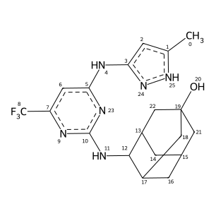 Cc1cc(Nc2cc(C(F)(F)F)nc(NC3C4CC5CC3CC(O)(C5)C4)n2)n[nH]1